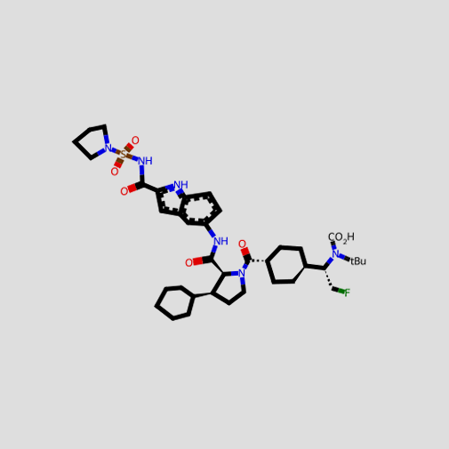 CC(C)(C)N(C(=O)O)[C@H](CF)[C@H]1CC[C@H](C(=O)N2CC[C@@H](C3CCCCC3)[C@H]2C(=O)Nc2ccc3[nH]c(C(=O)NS(=O)(=O)N4CCCC4)cc3c2)CC1